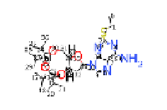 CCSc1nc(N)c2ncn([C@H]3C[C@@H]4O[Si](C(C)C)(C(C)C)O[Si](C(C)C)(C(C)C)OC[C@H]4O3)c2n1